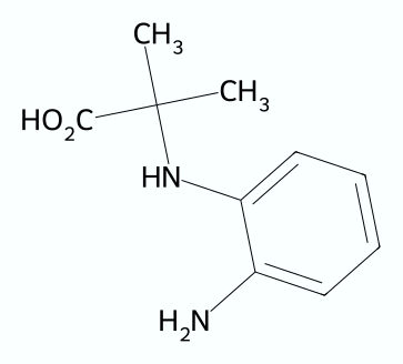 CC(C)(Nc1ccccc1N)C(=O)O